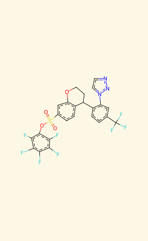 O=S(=O)(Oc1c(F)c(F)c(F)c(F)c1F)c1ccc2c(c1)OCCC2c1ccc(C(F)(F)F)cc1-n1ccnn1